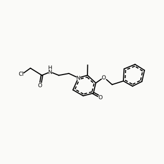 Cc1c(OCc2ccccc2)c(=O)ccn1CCNC(=O)CCl